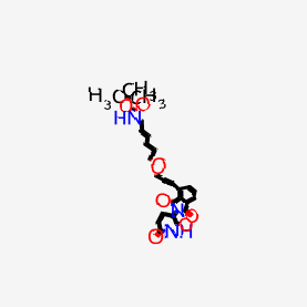 CC(C)(C)OC(=O)NCCCCCCOCC#Cc1cccc2c1C(=O)N(C1CCC(=O)NC1=O)C2=O